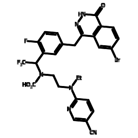 CCN(CCN(C(=O)O)C(c1cc(Cc2n[nH]c(=O)c3ccc(Br)cc23)ccc1F)C(F)(F)F)c1ccc(C#N)cn1